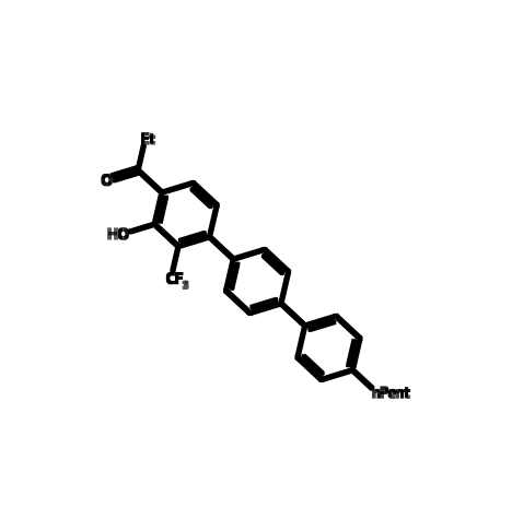 CCCCCc1ccc(-c2ccc(-c3ccc(C(=O)CC)c(O)c3C(F)(F)F)cc2)cc1